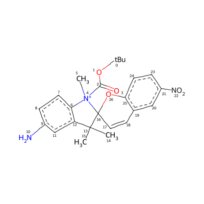 CC(C)(C)OC(=O)[N+]1(C)c2ccc(N)cc2C(C)(C)C12C=Cc1cc([N+](=O)[O-])ccc1O2